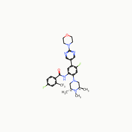 C[C@@H]1CN(c2cc(F)c(-c3cnc(N4CCOCC4)nc3)cc2NC(=O)c2ccc(F)cc2C(F)(F)F)C[C@@H](C)N1C